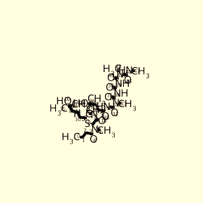 CCCC(=O)N(C)[C@H](SCCCCC(C)(C)O)C(=O)N(C)[C@@H](CC(C)(C)O)C(=O)NC(=O)N(C)C(=O)NC(=O)NC(=O)N(C)C(=O)NC